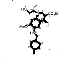 CCOC(=O)c1cn([C@H](CO)C(C)C)c2cc(OC)c(NCc3ccc(C)cc3)cc2c1=O